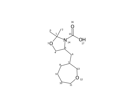 CC1(C)OCC(CC2CCCCOC2)N1C(=O)O